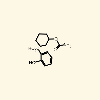 NC(=O)OC1CCCCC1.O=C(O)c1ccccc1O